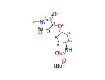 Cn1cc(Br)c(O[C@H]2CC[C@H](NC(=O)OC(C)(C)C)CC2)cc1=O